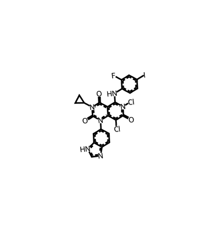 O=c1c(Cl)c2c(c(Nc3ccc(I)cc3F)n1Cl)c(=O)n(C1CC1)c(=O)n2-c1ccc2nc[nH]c2c1